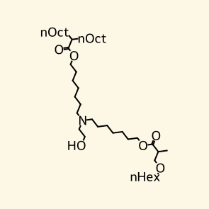 CCCCCCCCC(CCCCCCCC)C(=O)OCCCCCCCN(CCO)CCCCCCCOC(=O)C(C)COCCCCCC